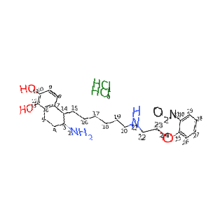 Cl.Cl.NC1CCc2c(ccc(O)c2O)C1CCCCCCNCCOc1ccccc1[N+](=O)[O-]